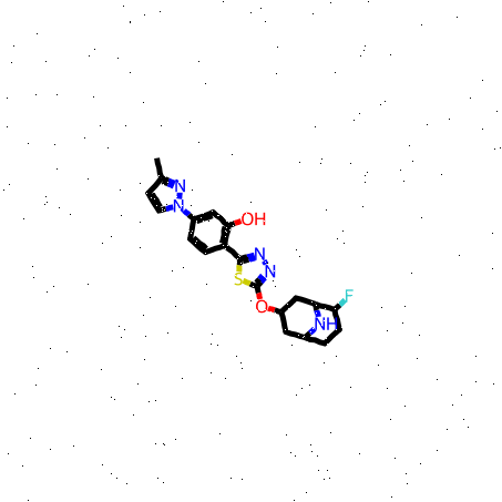 Cc1ccn(-c2ccc(-c3nnc(OC4CC5CCC(F)C(C4)N5)s3)c(O)c2)n1